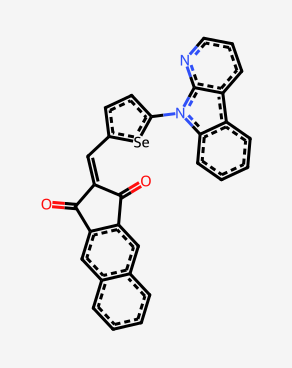 O=C1C(=Cc2ccc(-n3c4ccccc4c4cccnc43)[se]2)C(=O)c2cc3ccccc3cc21